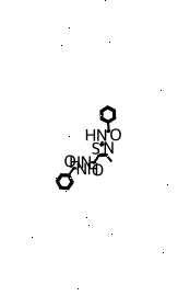 Cc1nc(NC(=O)c2ccccc2)sc1C(=O)NNC(=O)c1ccccc1